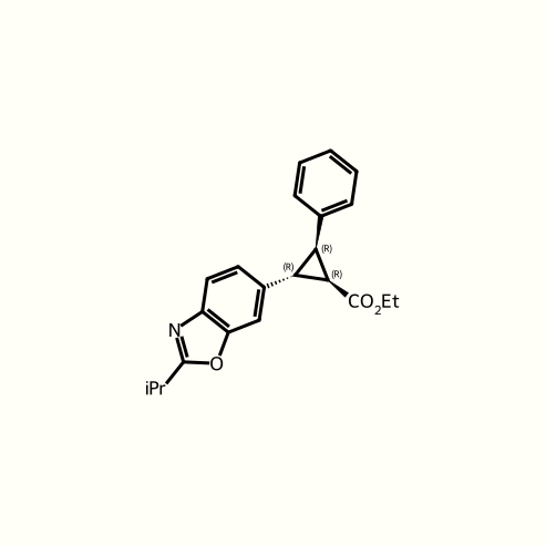 CCOC(=O)[C@@H]1[C@H](c2ccccc2)[C@H]1c1ccc2nc(C(C)C)oc2c1